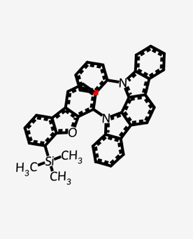 C[Si](C)(C)c1cccc2c1oc1c(-n3c4ccccc4c4ccc5c6ccccc6n(-c6ccccc6)c5c43)cccc12